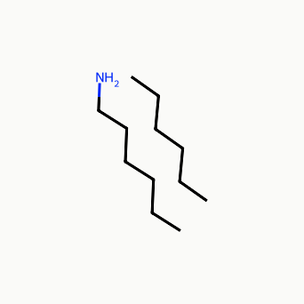 CCCCCC.CCCCCCN